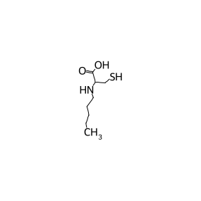 CCCCCNC(CS)C(=O)O